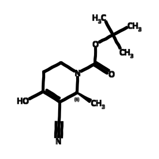 C[C@H]1C(C#N)=C(O)CCN1C(=O)OC(C)(C)C